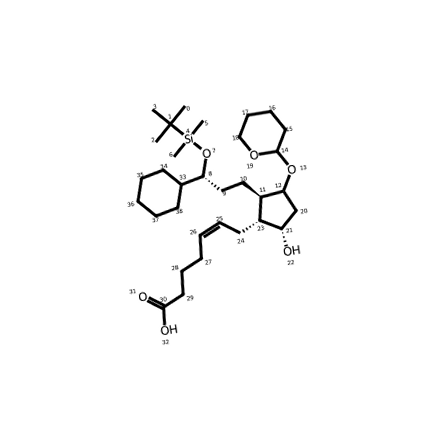 CC(C)(C)[Si](C)(C)O[C@H](CC[C@H]1C(OC2CCCCO2)C[C@H](O)[C@@H]1C/C=C\CCCC(=O)O)C1CCCCC1